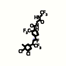 Cc1cc(C(/C=C(\F)c2ccc(C(=O)NCC(=O)NCC(F)(F)F)c(C(F)(F)F)c2)C(F)(F)F)cc(Cl)c1Cl